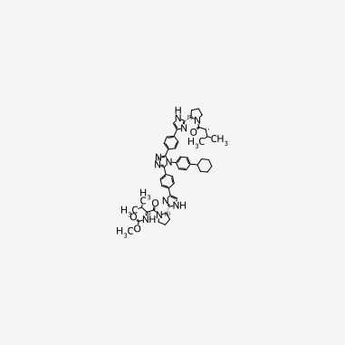 COC(=O)N[C@H](C(=O)N1CCC[C@H]1c1nc(-c2ccc(-c3nnc(-c4ccc(-c5c[nH]c([C@@H]6CCCN6C(=O)[CH]C(C)C)n5)cc4)n3-c3ccc(C4CCCCC4)cc3)cc2)c[nH]1)C(C)C